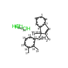 CC1=Cc2ccccc2[C]1([Ti])[SiH2]c1cccc(C)c1C.Cl.Cl.Cl